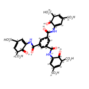 O=C(NC1=CC(S(=O)(=O)O)=CC(C(=O)O)C1=O)c1cc(C(=O)NC2=CC(S(=O)(=O)O)=CC(C(=O)O)C2=O)cc(C(=O)NC2=CC(S(=O)(=O)O)=CC(C(=O)O)C2=O)c1